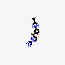 CC(c1cccc(-c2ncc(C3CC3)cn2)c1)c1nn(-c2cnn(C)c2)ccc1=O